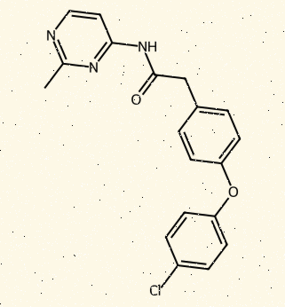 Cc1nccc(NC(=O)Cc2ccc(Oc3ccc(Cl)cc3)cc2)n1